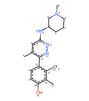 Cc1cc(N[C@@H]2CCCN(C)C2)nnc1-c1ccc(O)c(C)c1C(F)(F)F